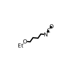 CCOCCCCN=C=O